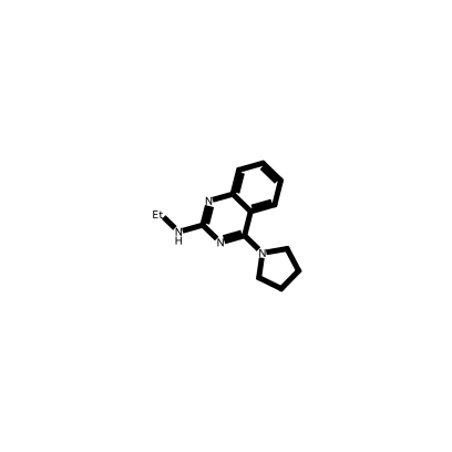 CCNc1nc(N2CCCC2)c2ccccc2n1